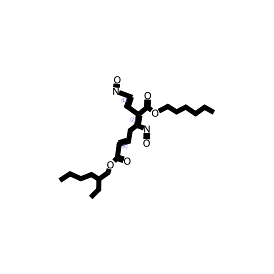 CCCCCCOC(=O)C(/C=C/N=O)=C(/C/C=C/C(=O)OCC(CC)CCCC)N=O